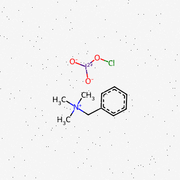 C[N+](C)(C)Cc1ccccc1.[O-][I+2]([O-])OCl